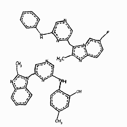 Cc1ccc(Nc2cncc(-n3c(C)nc4ccccc43)n2)c(O)c1.Cc1nc2ccc(F)cn2c1-c1cncc(Nc2ccccc2)n1